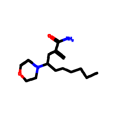 C=C(CC(CCCCCC)N1CCOCC1)C(N)=O